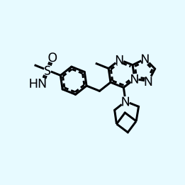 Cc1nc2ncnn2c(N2CC3CC(C3)C2)c1Cc1ccc(S(C)(=N)=O)cc1